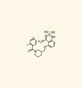 Cc1cnccc1C(=O)N1CCCC(COc2cccc3c2C(N)=NS(O)(O)N3)C1